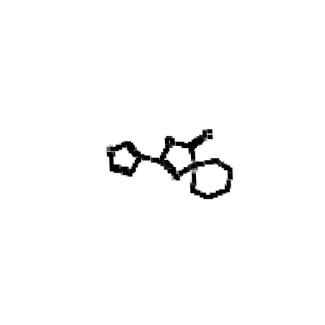 O=C1OC(c2ccoc2)=NC12CCCCC2